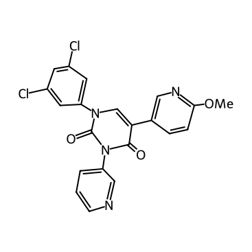 COc1ccc(-c2cn(-c3cc(Cl)cc(Cl)c3)c(=O)n(-c3cccnc3)c2=O)cn1